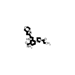 C=CC(=O)N1CC[C@@H](c2ccc(C(N)=O)c3[nH]c(-c4cc5n(n4)CCOC5)cc23)C1